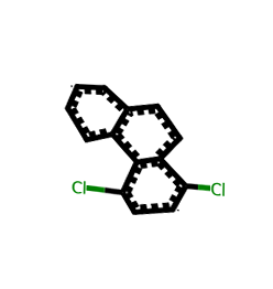 Clc1[c]cc(Cl)c2c1ccc1c[c]ccc12